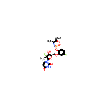 COC(=O)[C@H](C)/N=[P+](\[O-])Oc1ccc(F)cc1OC[C@H]1OC(n2ccc(=O)[nH]c2=O)[C@](C)(F)[C@@H]1O